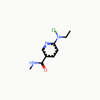 CCN(Cl)c1ccc(C(=O)NC)cn1